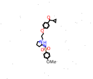 COc1ccc(S(=O)(=O)NC2CCCN2CCCOc2ccc(C(=O)C3CC3)cc2)cc1